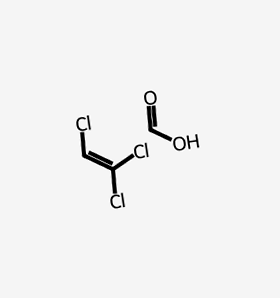 ClC=C(Cl)Cl.O=CO